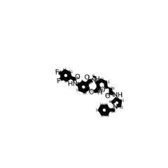 CN1C(=O)c2cc(NC(=O)c3ccc(F)c(F)c3)ccc2OC[C@@H]2O[C@H](CC(=O)N[C@@H]3CCN(Cc4ccccc4)C3)CC[C@@H]21